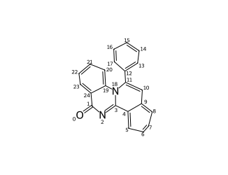 O=c1nc2c3ccccc3cc(-c3ccccc3)n2c2ccccc12